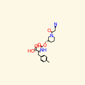 Cc1ccc(C[C@H](NC(=O)OC[C@H]2CCCN(C(=O)CC#N)C2)B(O)O)cc1